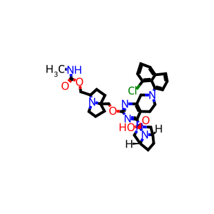 CNC(=O)OCC1CCC2(COc3nc4c(c(N5C[C@H]6CC[C@@H](C5)N6C(=O)O)n3)CCN(c3cccc5cccc(Cl)c35)C4)CCCN12